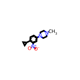 CN1CCN(c2ccc(C3CC3)c([N+](=O)[O-])c2)CC1